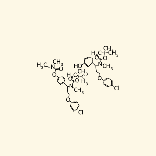 CCN(C)C(=O)Oc1ccc(C(CCOc2ccc(Cl)cc2)N(C)C(=O)OC(C)(C)C)cc1.CN(C(=O)OC(C)(C)C)C(CCOc1ccc(Cl)cc1)c1cccc(O)c1